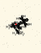 CC(C)[C@H](N)C(=O)OCCOCn1cnc2c(=O)[nH]c(N)nc21.CNCCC(Oc1ccc(C(F)(F)F)cc1)c1ccccc1.OCCN(CCO)c1nc(N2CCCCC2)c2nc(N(CCO)CCO)nc(N3CCCCC3)c2n1